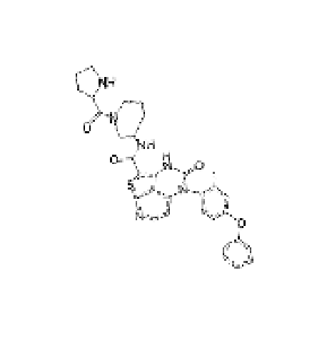 Cc1cc(Oc2ccccc2)ccc1N1C(=O)Nc2c(C(=O)N[C@@H]3CCCN(C(=O)C4CCCN4)C3)sc3nccc1c23